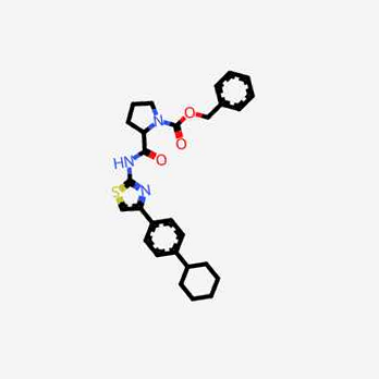 O=C(Nc1nc(-c2ccc(C3CCCCC3)cc2)cs1)C1CCCN1C(=O)OCc1ccccc1